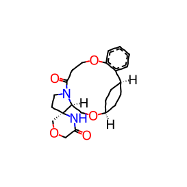 O=C1COC[C@@]2(CCN3C(=O)CCOc4ccccc4[C@H]4CC[C@H](CC4)OC[C@H]32)N1